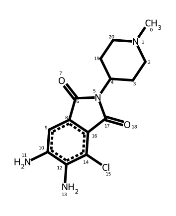 CN1CCC(N2C(=O)c3cc(N)c(N)c(Cl)c3C2=O)CC1